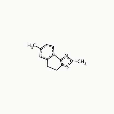 Cc1ccc2c(c1)CCc1sc(C)nc1-2